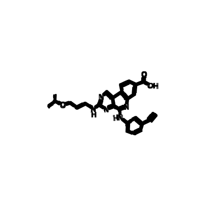 C#Cc1cccc(Nc2nc3cc(C(=O)O)ccc3c3cnc(NCCCOC(C)C)nc23)c1